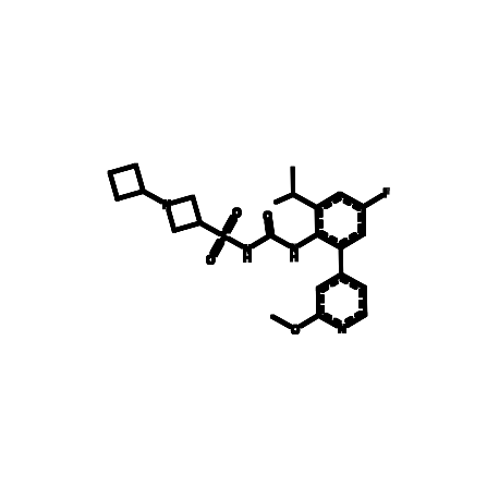 COc1cc(-c2cc(F)cc(C(C)C)c2NC(=O)NS(=O)(=O)C2CN(C3CCC3)C2)ccn1